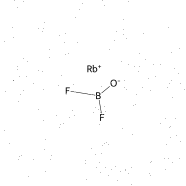 [O-]B(F)F.[Rb+]